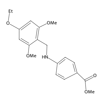 CCOc1cc(OC)c(CNc2ccc(C(=O)OC)cc2)c(OC)c1